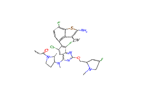 C=CC(=O)N1CCC(N(C)c2nc(OCC3CC(F)CN3C)nc3c(F)c(-c4ccc(F)c5sc(N)c(C#N)c45)c(Cl)cc23)C1C